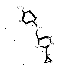 Oc1ccc(OCc2nnc(C3CC3)s2)cc1